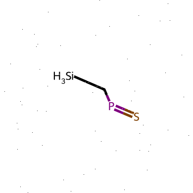 [SiH3]CP=S